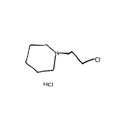 Cl.ClCCN1CCCCC1